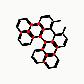 Cc1ccc(-c2ccccc2)c(P(c2ccccc2)c2ccccc2)c1-c1c(C)ccc(-c2ccccc2)c1P(c1ccccc1)c1ccccc1